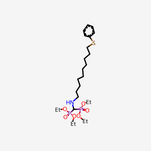 CCOP(=O)(OCC)C(NCCCCCCCCCCSc1ccccc1)P(=O)(OCC)OCC